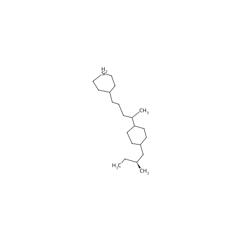 CC[C@H](C)CC1CCC(C(C)CCCC2CC[SiH2]CC2)CC1